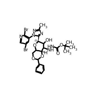 Cc1nc([C@@H]2OC3COC(c4ccccc4)O[C@@H]3C(NNC(=O)OC(C)(C)C)C2O)n(-c2cc(Br)cnc2Br)n1